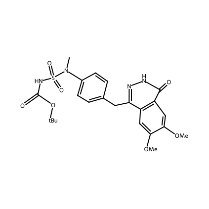 COc1cc2c(Cc3ccc(N(C)S(=O)(=O)NC(=O)OC(C)(C)C)cc3)n[nH]c(=O)c2cc1OC